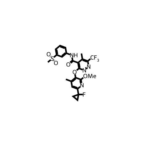 COc1nc(C2(F)CC2)cc(C)c1Oc1nnc(C(F)(F)F)c(C)c1C(=O)Nc1cccc(S(C)(=O)=O)c1